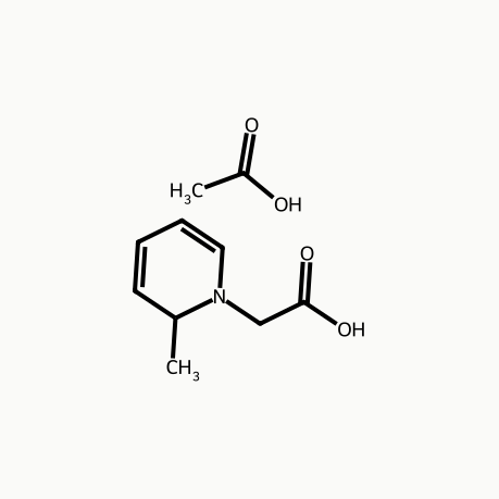 CC(=O)O.CC1C=CC=CN1CC(=O)O